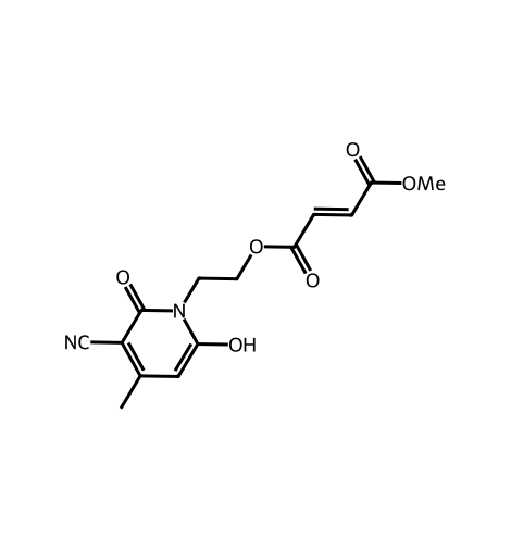 COC(=O)/C=C/C(=O)OCCn1c(O)cc(C)c(C#N)c1=O